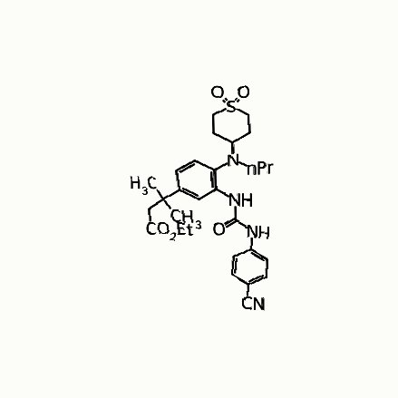 CCCN(c1ccc(C(C)(C)CC(=O)OCC)cc1NC(=O)Nc1ccc(C#N)cc1)C1CCS(=O)(=O)CC1